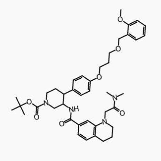 COc1ccccc1COCCCOc1ccc(C2CCN(C(=O)OC(C)(C)C)CC2NC(=O)c2ccc3c(c2)N(CC(=O)N(C)C)CCC3)cc1